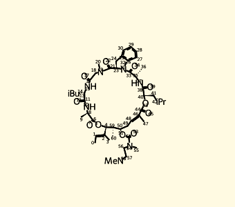 C/C=C(\C)[C@H]1OC(=O)[C@@H](C)NC(=O)[C@H](C(C)CC)NC(=O)CN(C)C(=O)[C@@H](Cc2ccccc2)N(C)C(=O)[C@H](C)NC(=O)[C@@H](CC(C)C)OC(=O)/C(C)=C/C[C@H](OC(=O)N(C)CCNC)[C@@H]1C